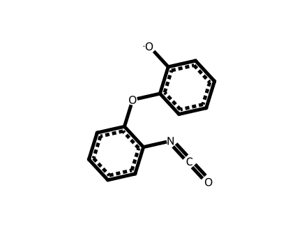 [O]c1ccccc1Oc1ccccc1N=C=O